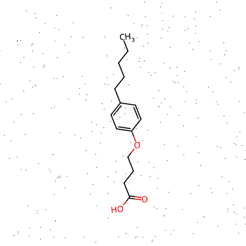 CCCCCc1ccc(OCCCC(=O)O)cc1